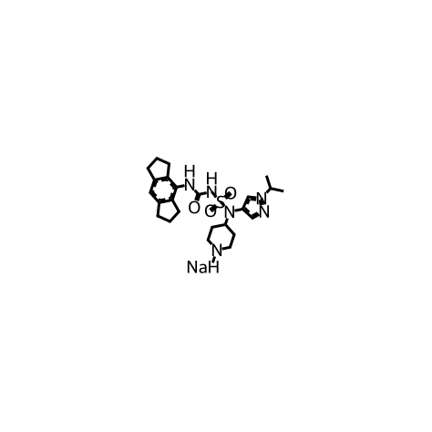 CC(C)n1cc(N(C2CCN(C)CC2)S(=O)(=O)NC(=O)Nc2c3c(cc4c2CCC4)CCC3)cn1.[NaH]